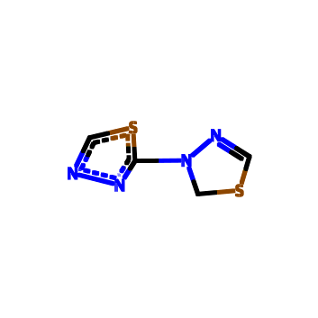 C1=NN(c2nncs2)CS1